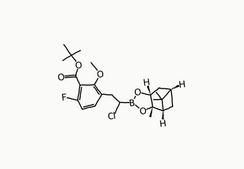 COc1c(CC(Cl)B2O[C@@H]3C[C@@H]4C[C@@H](C4(C)C)[C@]3(C)O2)ccc(F)c1C(=O)OC(C)(C)C